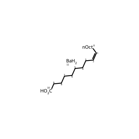 CCCCCCCC/C=C\CCCCCCCC(=O)O.[BaH2]